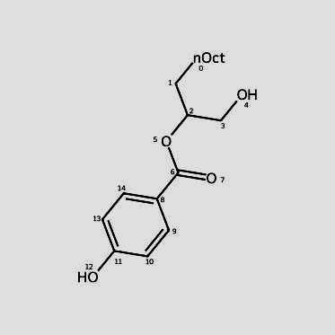 CCCCCCCCCC(CO)OC(=O)c1ccc(O)cc1